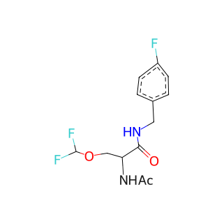 CC(=O)NC(COC(F)F)C(=O)NCc1ccc(F)cc1